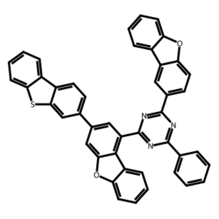 c1ccc(-c2nc(-c3ccc4oc5ccccc5c4c3)nc(-c3cc(-c4ccc5c(c4)sc4ccccc45)cc4oc5ccccc5c34)n2)cc1